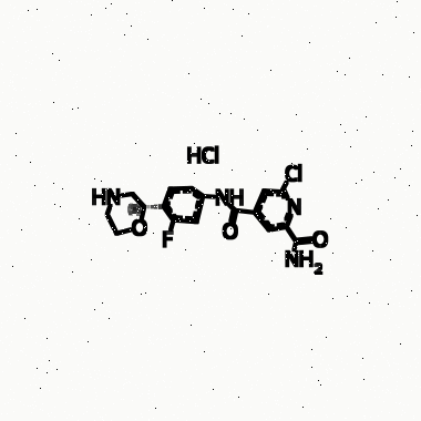 Cl.NC(=O)c1cc(C(=O)Nc2ccc([C@H]3CNCCO3)c(F)c2)cc(Cl)n1